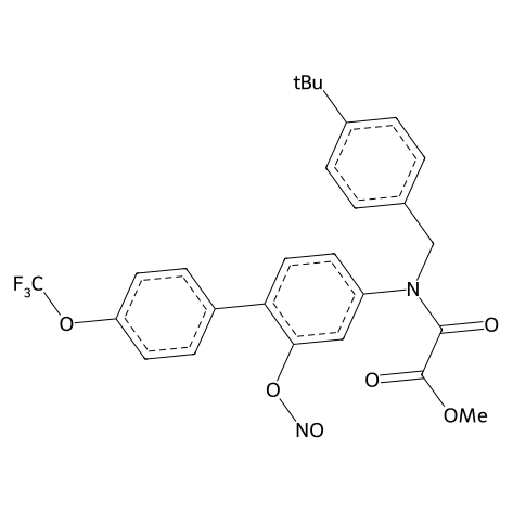 COC(=O)C(=O)N(Cc1ccc(C(C)(C)C)cc1)c1ccc(-c2ccc(OC(F)(F)F)cc2)c(ON=O)c1